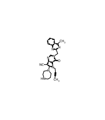 CC#CCn1c(N2CCCNCC2)c(C#N)c2ncn(Cc3nc(C)c4ccccc4n3)c(=O)c21